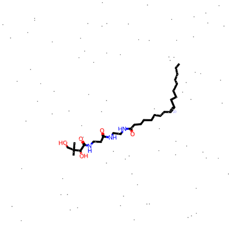 CCCCCCCC/C=C\CCCCCCCC(=O)NCCNC(=O)CCNC(=O)C(O)C(C)(C)CO